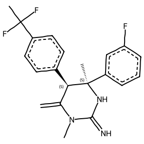 C=C1[C@@H](c2ccc(C(C)(F)F)cc2)[C@@](C)(c2cccc(F)c2)NC(=N)N1C